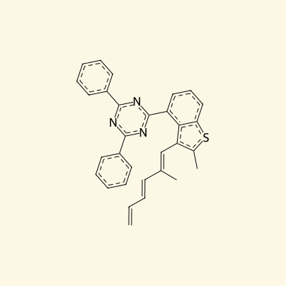 C=C/C=C/C(C)=C/c1c(C)sc2cccc(-c3nc(-c4ccccc4)nc(-c4ccccc4)n3)c12